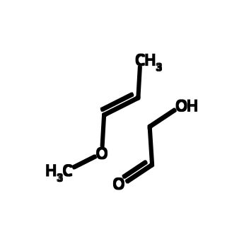 CC=COC.O=CCO